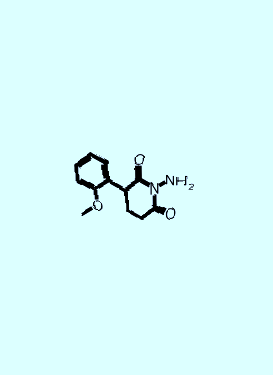 COc1ccccc1C1CCC(=O)N(N)C1=O